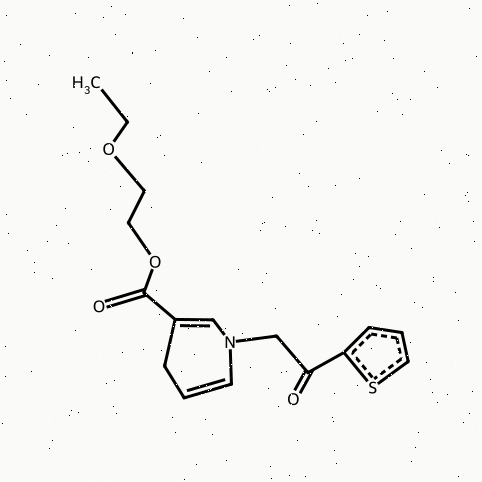 CCOCCOC(=O)C1=CN(CC(=O)c2cccs2)C=CC1